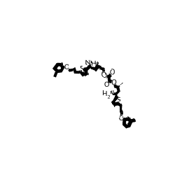 Cc1cccc(OCCCc2ccc(C(N)C[C@@H](C)COC(=O)C(=O)OC[C@H](C)CC(N)c3ccc(CCCOc4cccc(C)c4)s3)s2)c1